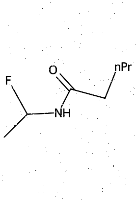 CCCCC(=O)NC(C)F